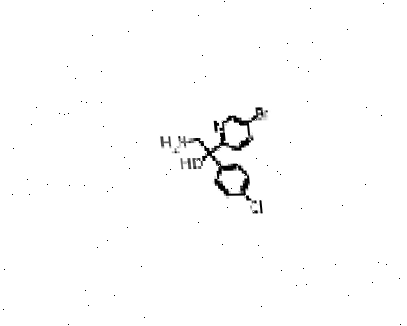 NCC(O)(c1ccc(Cl)cc1)c1ccc(Br)cn1